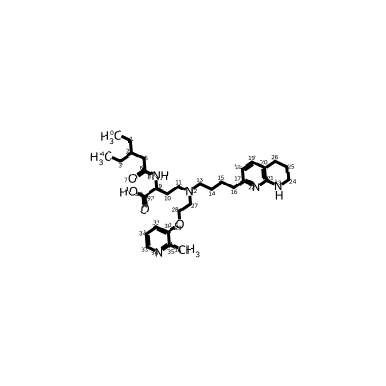 CCC(CC)CC(=O)NC(CCN(CCCCc1ccc2c(n1)NCCC2)CCOc1cccnc1C)C(=O)O